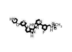 CS(=O)(=O)NCc1cc(F)cc(-c2nccc3[nH]c(-c4n[nH]c5ccc(-c6cncc(OC7CCNCC7)c6)nc45)nc23)c1